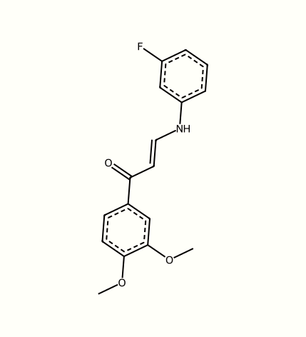 COc1ccc(C(=O)/C=C/Nc2cccc(F)c2)cc1OC